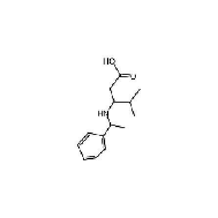 CC(NC(CC(=O)O)C(C)C)c1ccccc1